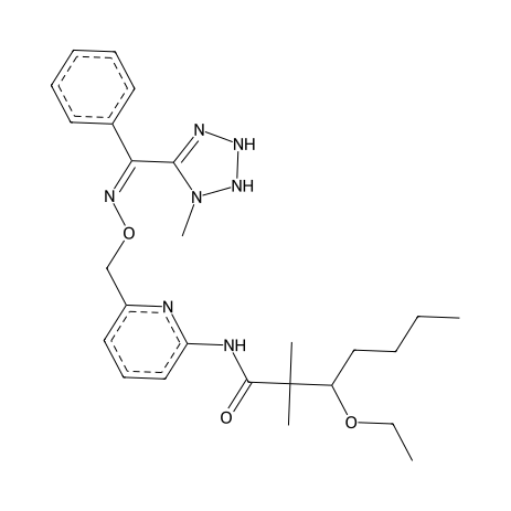 CCCCC(OCC)C(C)(C)C(=O)Nc1cccc(CO/N=C(\C2=NNNN2C)c2ccccc2)n1